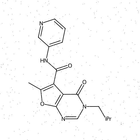 Cc1oc2ncn(CC(C)C)c(=O)c2c1C(=O)Nc1cccnc1